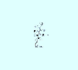 CCCCCCCCCCCCOC(=O)C(=O)[C@H](O)[C@@H](O)[C@H](O)[C@H](O)CO.[NaH]